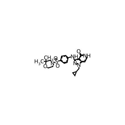 CC1(C)CN(S(=O)(=O)c2ccc(Nc3nn(CC4CC4)c4cc[nH]c(=O)c34)cc2)CCO1